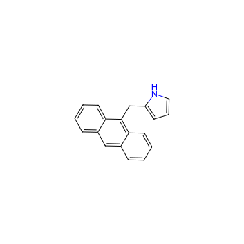 c1c[nH]c(Cc2c3ccccc3cc3ccccc23)c1